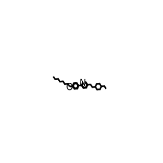 CCCCCCCOc1ccc(-c2ccc(CCC3CCC(CC)CC3)cn2)cc1